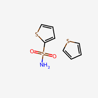 NS(=O)(=O)c1cccs1.c1ccsc1